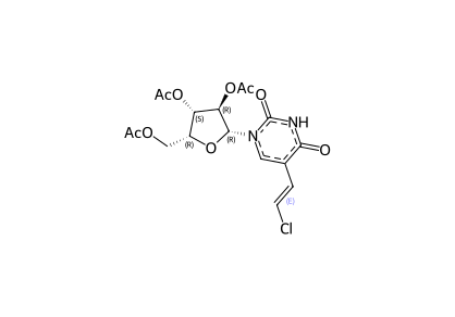 CC(=O)OC[C@H]1O[C@@H](n2cc(/C=C/Cl)c(=O)[nH]c2=O)[C@H](OC(C)=O)[C@H]1OC(C)=O